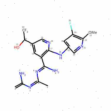 C=C(N)/N=C(C)\N=C(/N)c1cc(C(O)C(F)(F)F)cnc1Nc1cnc(OC)c(F)c1